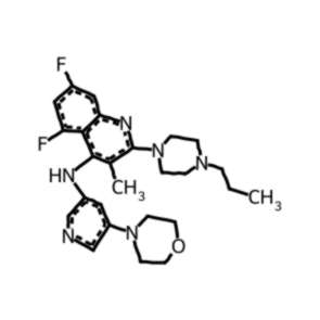 CCCN1CCN(c2nc3cc(F)cc(F)c3c(Nc3cncc(N4CCOCC4)c3)c2C)CC1